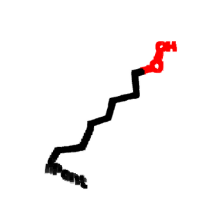 CCCCCCCCCCCCOO